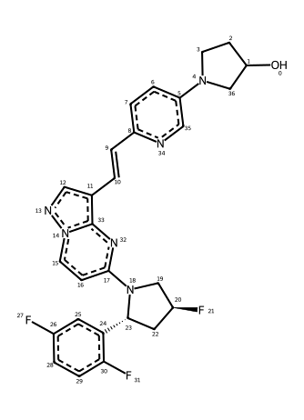 OC1CCN(c2ccc(/C=C/c3cnn4ccc(N5C[C@@H](F)C[C@@H]5c5cc(F)ccc5F)nc34)nc2)C1